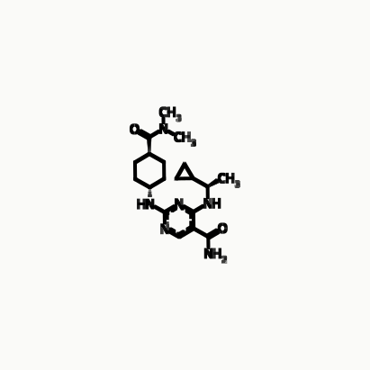 C[C@@H](Nc1nc(N[C@H]2CC[C@H](C(=O)N(C)C)CC2)ncc1C(N)=O)C1CC1